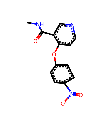 CNC(=O)c1cnccc1Oc1ccc([N+](=O)[O-])cc1